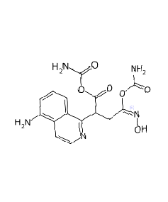 NC(=O)OC(=O)C(C/C(=N\O)OC(N)=O)c1nccc2c(N)cccc12